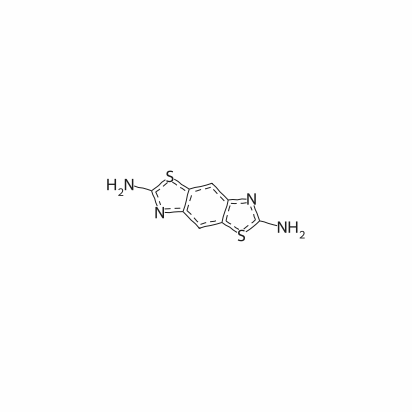 Nc1nc2cc3sc(N)nc3cc2s1